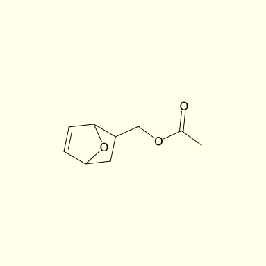 CC(=O)OCC1CC2C=CC1O2